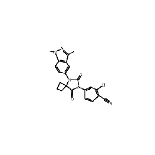 Cc1nn(C)c2ccc(N3C(=S)N(c4ccc(C#N)c(Cl)c4)C(=O)C34CCC4)cc12